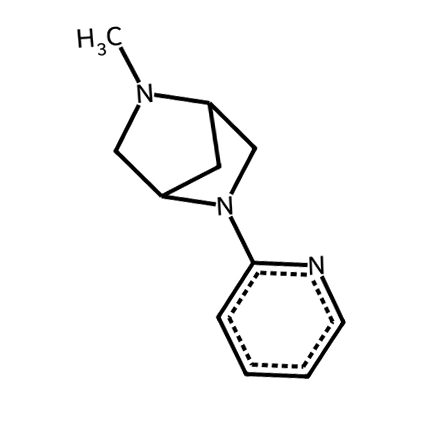 CN1CC2CC1CN2c1ccccn1